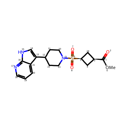 COC(=O)[C@H]1C[C@@H](S(=O)(=O)N2CCC(c3c[nH]c4ncccc34)CC2)C1